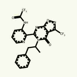 CC(Cc1ccccc1)n1c(-c2ncccc2NC(=O)C(F)(F)F)nc2onc(C(F)(F)F)c2c1=O